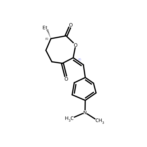 CC[C@H]1CCC(=O)/C(=C\c2ccc(N(C)C)cc2)OC1=O